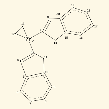 C1=[C]([Zr]2([C]3=Cc4ccccc4C3)[CH2][CH2]2)Cc2ccccc21